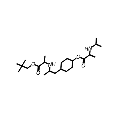 CC(C)NC(C)C(=O)OC1CCC(CC(C)NC(C)C(=O)OCC(C)(C)C)CC1